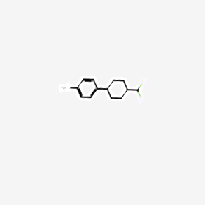 N#Cc1ccc(C2CCC(C(F)F)CC2)cc1